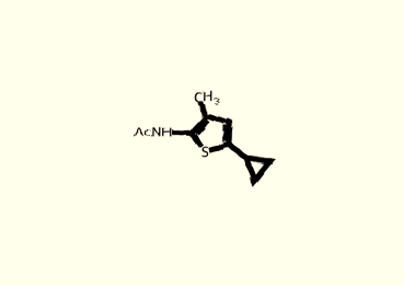 CC(=O)Nc1sc(C2CC2)cc1C